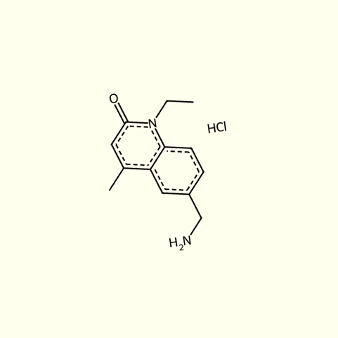 CCn1c(=O)cc(C)c2cc(CN)ccc21.Cl